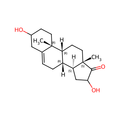 C[C@]12CCC(O)CC1=CC[C@@H]1[C@H]2CC[C@]2(C)C(=O)C(O)C[C@@H]12